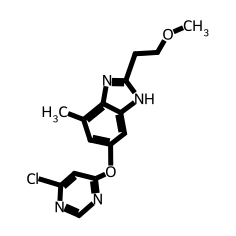 COCCc1nc2c(C)cc(Oc3cc(Cl)ncn3)cc2[nH]1